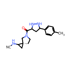 Cc1ccc(C2CC(C(=O)N3CC[C@@]4(CC4NC#N)C3)NN2)cc1